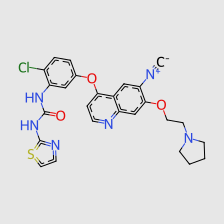 [C-]#[N+]c1cc2c(Oc3ccc(Cl)c(NC(=O)Nc4nccs4)c3)ccnc2cc1OCCN1CCCC1